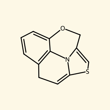 C1=C2COc3cccc4c3N2C(=CC4)S1